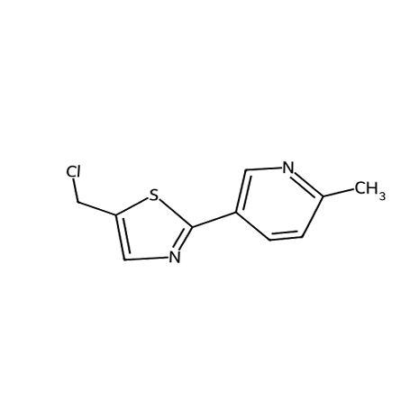 Cc1ccc(-c2ncc(CCl)s2)cn1